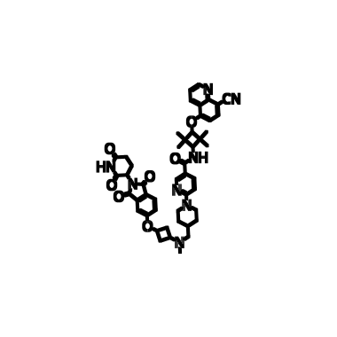 CN(CC1CCN(c2ccc(C(=O)NC3C(C)(C)C(Oc4ccc(C#N)c5ncccc45)C3(C)C)cn2)CC1)C1CC(Oc2ccc3c(c2)C(=O)N(C2CCC(=O)NC2=O)C3=O)C1